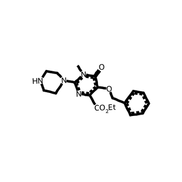 CCOC(=O)c1nc(N2CCNCC2)n(C)c(=O)c1OCc1ccccc1